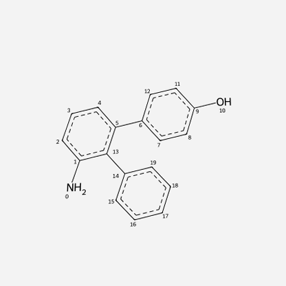 Nc1cccc(-c2ccc(O)cc2)c1-c1ccccc1